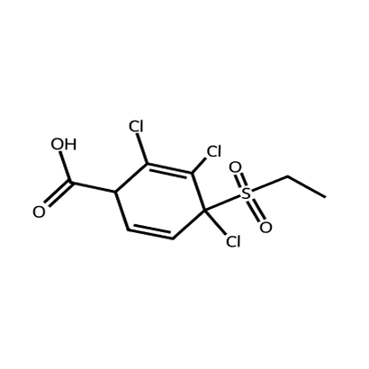 CCS(=O)(=O)C1(Cl)C=CC(C(=O)O)C(Cl)=C1Cl